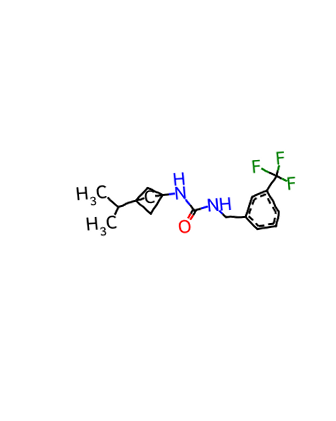 CC(C)C12CC(NC(=O)NCc3cccc(C(F)(F)F)c3)(C1)C2